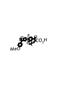 COc1ccc(C2=NOC3CN(c4c(F)cc5c6c4OC[C@H](C)N6CC(C(=O)O)C5=O)CC23)cc1